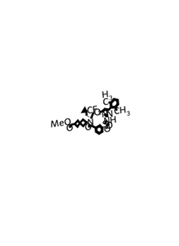 COC(=O)C1CC2(C1)CC(N1C(=O)c3cccc(c3)S(=O)(=O)Nc3nc(cc(-c4c(C)cccc4C)n3)OC[C@H]1CC1(C(F)(F)F)CC1)C2